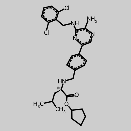 CC(C)C[C@@H](NCc1ccc(-c2cnc(N)c(NCc3c(Cl)cccc3Cl)n2)cc1)C(=O)OC1CCCC1